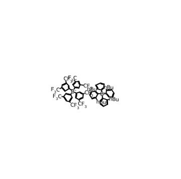 CCCCc1ccccc1[B-](c1ccccc1CCCC)(c1ccccc1CCCC)c1ccccc1CCCC.FC(F)(F)c1cc([B-](c2cc(C(F)(F)F)cc(C(F)(F)F)c2)(c2cc(C(F)(F)F)cc(C(F)(F)F)c2)c2cc(C(F)(F)F)cc(C(F)(F)F)c2)cc(C(F)(F)F)c1